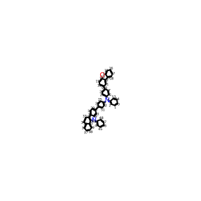 c1ccc(N(c2ccc(-c3ccc4oc5ccccc5c4c3)cc2)c2ccc(-c3ccc4c5ccc6ccccc6c5n(-c5ccccc5)c4c3)cc2)cc1